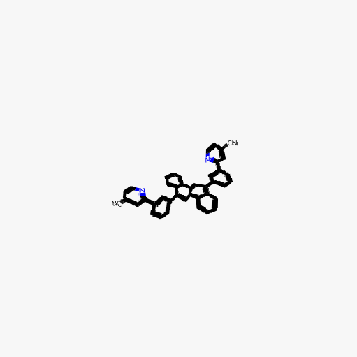 N#Cc1ccnc(-c2cccc(-c3cc4c5ccccc5c(-c5cccc(-c6cc(C#N)ccn6)c5)cc4c4ccccc34)c2)c1